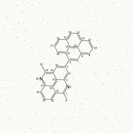 Cc1nc2cc(-c3cc4cccc5ccc6cccc3c6c54)cc3c(C)nc4cccc1c4c23